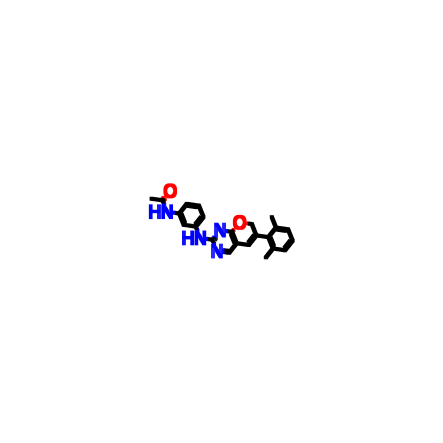 CC(=O)Nc1cccc(Nc2ncc3c(n2)OCC(c2c(C)cccc2C)=C3)c1